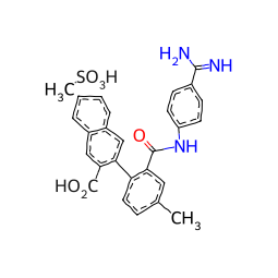 CS(=O)(=O)O.Cc1ccc(-c2cc3ccccc3cc2C(=O)O)c(C(=O)Nc2ccc(C(=N)N)cc2)c1